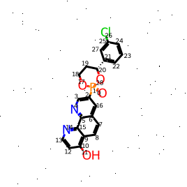 O=P1(c2cnc3c(ccc4c(O)ccnc43)c2)OCC[C@H](c2cccc(Cl)c2)O1